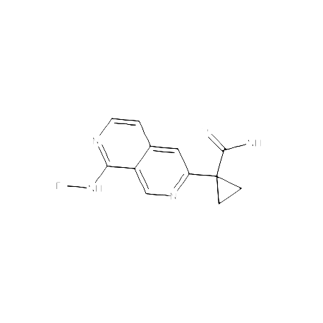 CCNc1nccc2cc(C3(C(N)=O)CC3)ncc12